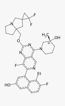 CCc1c(F)ccc2cc(O)cc(-c3ncc4c(N5CCC[C@@](C)(O)C5)nc(OCC56CCCN5CC5(C6)CC5(F)F)nc4c3F)c12